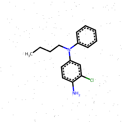 CCCCN(c1ccccc1)c1ccc(N)c(Cl)c1